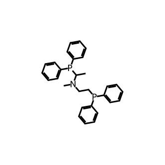 CC(N(C)CCP(c1ccccc1)c1ccccc1)P(c1ccccc1)c1ccccc1